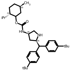 CC(C)[C@@H]1CC[C@@H](C)CC1OC(=O)N[C@H]1CN[C@@H](C(c2ccc(C(C)(C)C)cc2)c2ccc(C(C)(C)C)cc2)C1